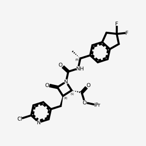 CC(C)OC(=O)[C@@H]1[C@@H](Cc2ccc(Cl)nc2)C(=O)N1C(=O)N[C@H](C)c1ccc2c(c1)CC(F)(F)C2